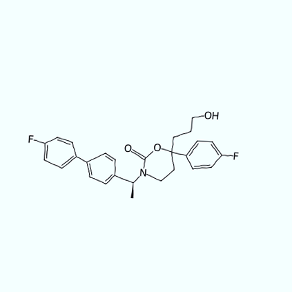 C[C@@H](c1ccc(-c2ccc(F)cc2)cc1)N1CCC(CCCO)(c2ccc(F)cc2)OC1=O